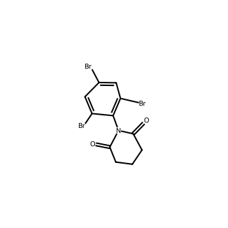 O=C1CCCC(=O)N1c1c(Br)cc(Br)cc1Br